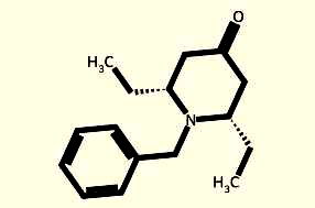 CC[C@@H]1CC(=O)C[C@H](CC)N1Cc1ccccc1